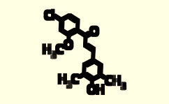 COc1cc(Cl)ccc1C(=O)C=Cc1cc(C)c(O)c(C)c1